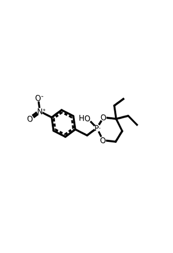 CCC1(CC)CCO[P](O)(Cc2ccc([N+](=O)[O-])cc2)O1